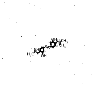 CN(C)Cc1ccc(SSc2ccc(CN(C)C)c(O)c2)cc1O